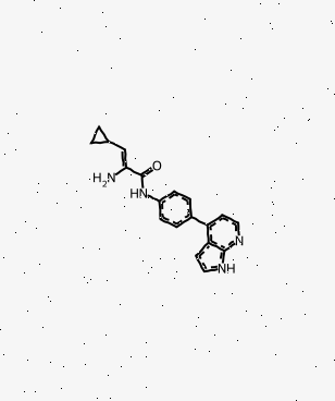 NC(=CC1CC1)C(=O)Nc1ccc(-c2ccnc3[nH]ccc23)cc1